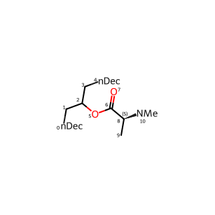 CCCCCCCCCCCC(CCCCCCCCCCC)OC(=O)[C@H](C)NC